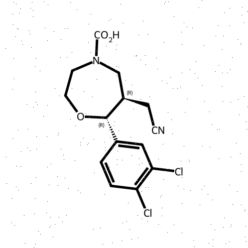 N#CC[C@@H]1CN(C(=O)O)CCO[C@H]1c1ccc(Cl)c(Cl)c1